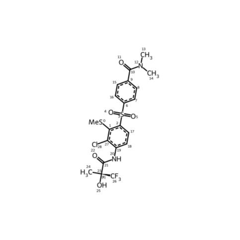 CSc1c(S(=O)(=O)c2ccc(C(=O)N(C)C)cc2)ccc(NC(=O)[C@@](C)(O)C(F)(F)F)c1Cl